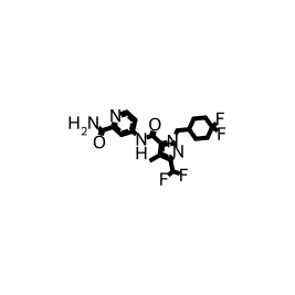 Cc1c(C(F)F)nn(CC2CCC(F)(F)CC2)c1C(=O)Nc1ccnc(C(N)=O)c1